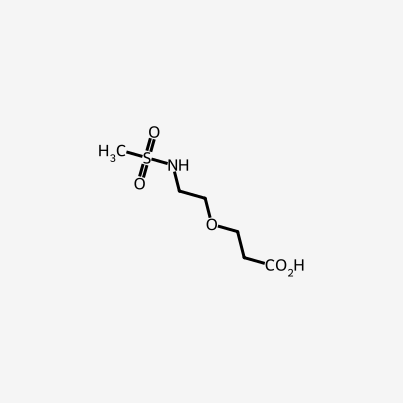 CS(=O)(=O)NCCOCCC(=O)O